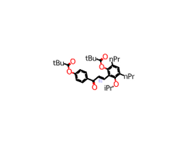 CCCc1cc(CCC)c(OC(C)C)c(/C=C/C(=O)c2ccc(OC(=O)C(C)(C)C)cc2)c1OC(=O)C(C)(C)C